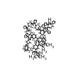 Cc1cc(F)c(Nc2nc(-c3ccc4c(c3)N(C3CC(N5CCCCC5)C3)C(=O)C43CCN(C(=O)C4CCN(C(=O)C5CCN(c6cccc7c6C(=O)N(C6CCC(=O)NC6=O)C7=O)CC5)C4)CC3)cc3ncn(C(C)C)c23)cc1C(=O)NC(C)C